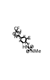 CNS(=O)(=O)NCc1ccc(-c2noc(C(F)(F)F)n2)cc1F